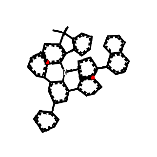 CC1(C)c2ccccc2-c2c(N(c3ccc(-c4cccc5ccccc45)cc3)c3c(-c4ccccc4)cc(-c4ccccc4)cc3-c3ccccc3)cccc21